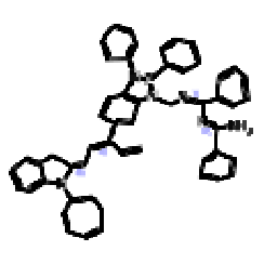 C=C/C(=C\C=C1/Cc2ccccc2N1C1=CCC=CC=C1)c1ccc2c(c1)N(C/N=C(\N=C(/N)c1ccccc1)c1ccccc1)P(c1ccccc1)N2c1ccccc1